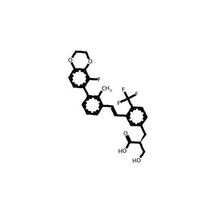 Cc1c(/C=C/c2cc(C[C@@H](CO)C(=O)O)ccc2C(F)(F)F)cccc1-c1ccc2c(c1F)OCCO2